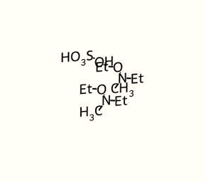 CCON(C)CC.CCON(C)CC.O=S(=O)(O)O